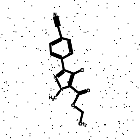 CCOC(=O)c1c(Cl)c(-c2ccc(C#N)cc2)nn1C